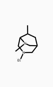 CCN1CC2CC(C)C(C1)N(C)C2